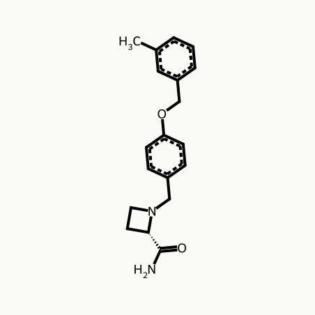 Cc1cccc(COc2ccc(CN3CC[C@H]3C(N)=O)cc2)c1